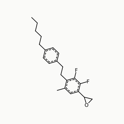 CCCCCc1ccc(CCc2c(C)cc(C3CO3)c(F)c2F)cc1